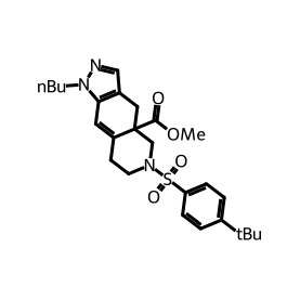 CCCCn1ncc2c1C=C1CCN(S(=O)(=O)c3ccc(C(C)(C)C)cc3)CC1(C(=O)OC)C2